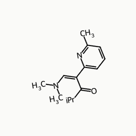 Cc1cccc(C(=CN(C)C)C(=O)C(C)C)n1